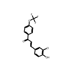 O=C(C=Cc1ccc(O)c(Cl)c1)c1ccc(OC(F)(F)F)cc1